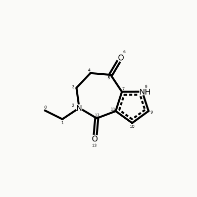 CCN1CCC(=O)c2[nH]ccc2C1=O